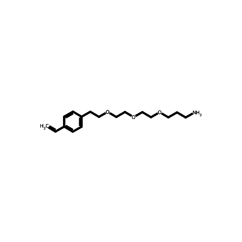 C=Cc1ccc(CCOCCOCCOCCCN)cc1